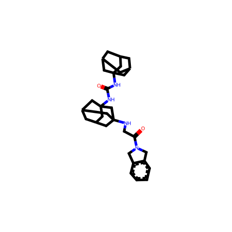 O=C(NC12CC3CC(CC(C3)C1)C2)NC12CC3CC(CC(NCC(=O)N4Cc5ccccc5C4)(C3)C1)C2